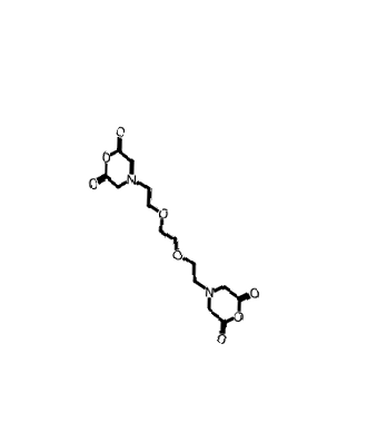 O=C1CN(CCOCCOCCN2CC(=O)OC(=O)C2)CC(=O)O1